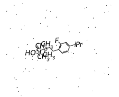 CC(C)c1ccc(CCC(C)(C)[Si](C)(C)O)c(F)c1